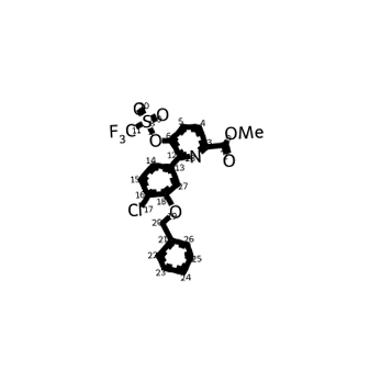 COC(=O)c1ccc(OS(=O)(=O)C(F)(F)F)c(-c2ccc(Cl)c(OCc3ccccc3)c2)n1